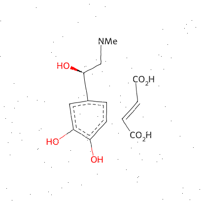 CNC[C@H](O)c1ccc(O)c(O)c1.O=C(O)C=CC(=O)O